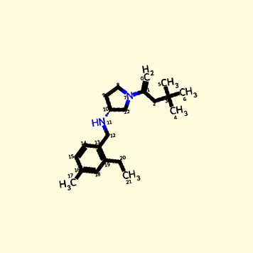 C=C(CC(C)(C)C)N1CC[C@@H](NCc2ccc(C)cc2CC)C1